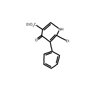 CCOC(=O)c1c[nH]c(CC)c(-c2ccccc2)c1=O